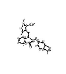 Cc1nn(C)c(C#N)c1CC1c2ccccc2C(=O)N1Cc1ccc2[nH]nnc2c1